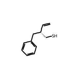 C=C[C@H](CS)Cc1ccccc1